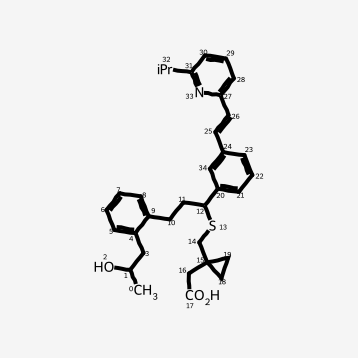 CC(O)Cc1ccccc1CCC(SCC1(CC(=O)O)CC1)c1cccc(C=Cc2cccc(C(C)C)n2)c1